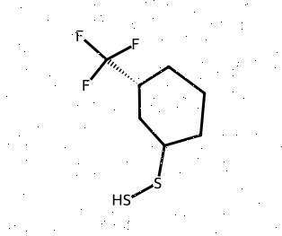 FC(F)(F)[C@@H]1CCCC(SS)C1